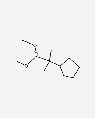 CO[SiH](OC)C(C)(C)C1CCCC1